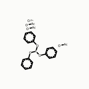 CC(=O)[O-].CC(=O)[O-].CC(=O)[O-].[Cr+3].c1ccc(OP(Oc2ccccc2)Oc2ccccc2)cc1